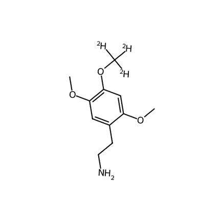 [2H]C([2H])([2H])Oc1cc(OC)c(CCN)cc1OC